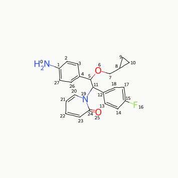 Nc1ccc(C(OCC2CC2)C(c2ccc(F)cc2)n2ccccc2=O)cc1